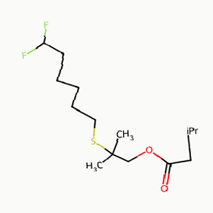 CC(C)CC(=O)OCC(C)(C)SCCCCCC(F)F